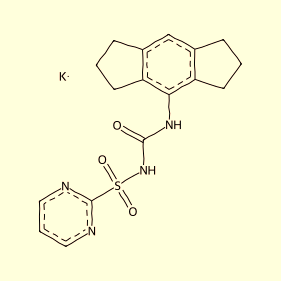 O=C(Nc1c2c(cc3c1CCC3)CCC2)NS(=O)(=O)c1ncccn1.[K]